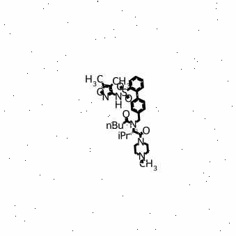 CCCCC(=O)N(Cc1ccc(-c2ccccc2S(=O)(=O)Nc2noc(C)c2C)cc1)[C@H](C(=O)N1CCN(C)CC1)C(C)C